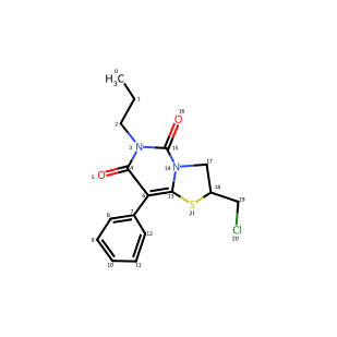 CCCn1c(=O)c(-c2ccccc2)c2n(c1=O)CC(CCl)S2